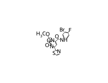 COCCN1C(C(=O)Nc2ccc(F)c(Br)c2)=CC(c2nccs2)=NS1(=O)=O